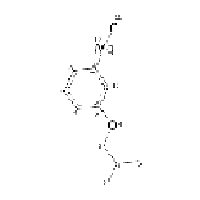 CC(C)COc1ccc[c]([Mg][Cl])c1